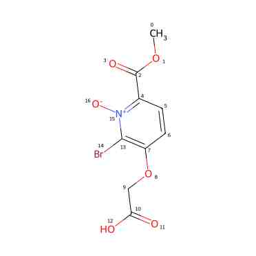 COC(=O)c1ccc(OCC(=O)O)c(Br)[n+]1[O-]